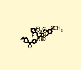 COc1ccc(CN2Cc3nc(-c4c(F)cccc4F)cc(Nc4ccc(C(=O)C5CCC6(CC5)CC6)cc4)c3C2=O)c(OC)c1